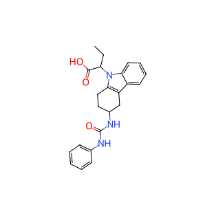 CCC(C(=O)O)n1c2c(c3ccccc31)CC(NC(=O)Nc1ccccc1)CC2